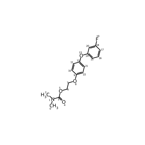 CN(C)C(=O)OCCOc1ccc(Oc2cccc(F)c2)cc1